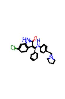 O=C1Nc2cc(Cl)ccc2/C1=C(/Nc1ccc(CN2CCCC2)cc1)c1ccccc1